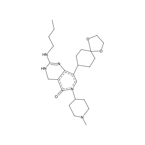 CCCCNC1=Nc2c(C3CCC4(CC3)OCCO4)cn(C3CCN(C)CC3)c(=O)c2CN1